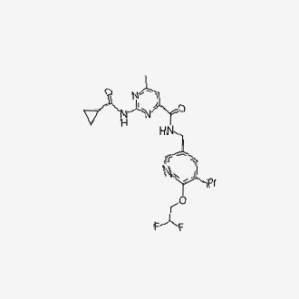 Cc1cc(C(=O)NCc2cnc(OCC(F)F)c(C(C)C)c2)nc(NC(=O)C2CC2)n1